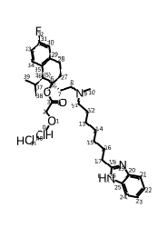 COCC(=O)O[C@]1(CCN(C)CCCCCCCc2nc3ccccc3[nH]2)CCc2cc(F)ccc2[C@@H]1C(C)C.Cl.Cl